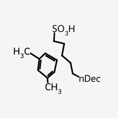 CCCCCCCCCCCCCCCS(=O)(=O)O.Cc1cccc(C)c1